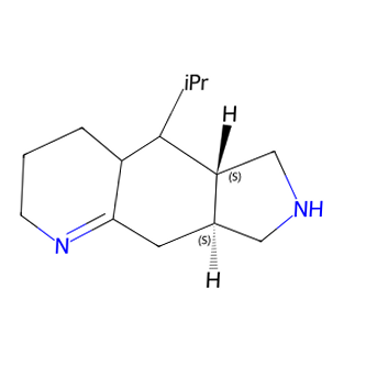 CC(C)C1C2CCCN=C2C[C@@H]2CNC[C@@H]12